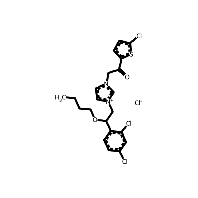 CCCCOC(C[n+]1ccn(CC(=O)c2ccc(Cl)s2)c1)c1ccc(Cl)cc1Cl.[Cl-]